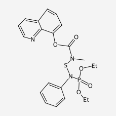 CCOP(=O)(OCC)N(SN(C)C(=O)Oc1cccc2cccnc12)c1ccccc1